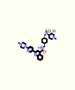 CN1CCC(N(C[C@H]2CC[C@H](CNC(=O)c3cc(-c4ccc(N5CCN(C)CC5)nc4)nc4ccccc34)CC2)C(=O)O)CC1